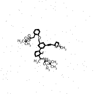 C[C@@H](NC(=O)OC(C)(C)C)c1cccc(-c2cc(C#Cc3ccn(C)n3)cc(COc3ccccc3CC(=O)OC(C)(C)C)c2)c1F